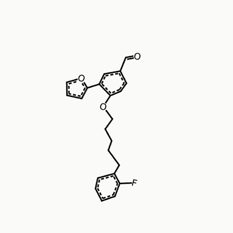 O=Cc1ccc(OCCCCCc2ccccc2F)c(-c2ccco2)c1